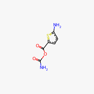 NC(=O)OC(=O)c1ccc(N)s1